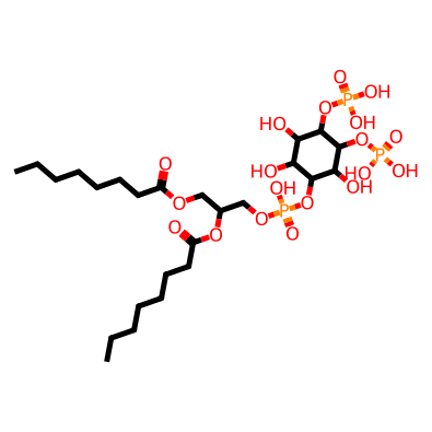 CCCCCCCC(=O)OCC(COP(=O)(O)OC1C(O)C(O)C(OP(=O)(O)O)C(OP(=O)(O)O)C1O)OC(=O)CCCCCCC